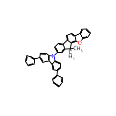 CC1(C)c2cc(-n3c4ccc(-c5ccccc5)cc4c4cc(-c5ccccc5)ccc43)ccc2-c2ccc3c(oc4ccccc43)c21